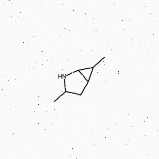 CC1CC2C(C)C2N1